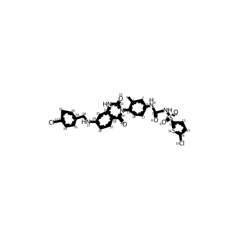 Cc1cc(NC(=O)NS(=O)(=O)c2ccc(Cl)s2)ccc1-n1c(=O)[nH]c2cc(NCc3ccc(Cl)cc3)ccc2c1=O